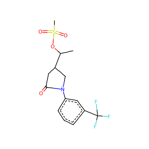 CC(OS(C)(=O)=O)C1CC(=O)N(c2cccc(C(F)(F)F)c2)C1